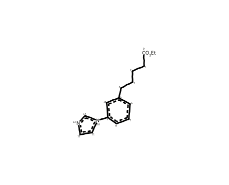 CCOC(=O)CCCCc1cccc(-n2ccnc2)c1